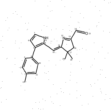 Cc1ccc(-c2cc[nH]c2/C=C2\N=C(C=O)CC2(C)C)cc1